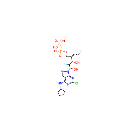 CC/C=C(/COP(=O)(O)CP(=O)(O)O)[C@@H](O)[C@H](F)[C@@H](O)n1ncc2c(NC3CCCC3)nc(Cl)nc21